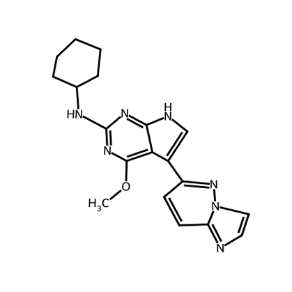 COc1nc(NC2CCCCC2)nc2[nH]cc(-c3ccc4nccn4n3)c12